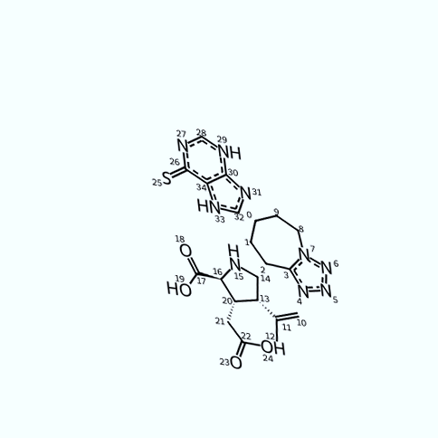 C1CCc2nnnn2CC1.C=C(C)[C@H]1CN[C@H](C(=O)O)[C@H]1CC(=O)O.S=c1nc[nH]c2nc[nH]c12